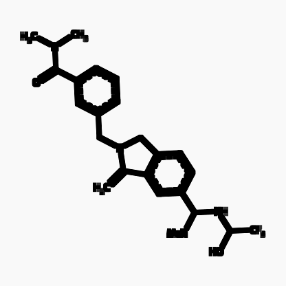 C=C1c2cc(C(NC)NC(O)C(F)(F)F)ccc2CN1Cc1cccc(C(=O)N(C)C)c1